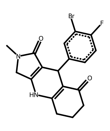 CN1CC2=C(C1=O)C(c1ccc(F)c(Br)c1)C1=C(CCCC1=O)N2